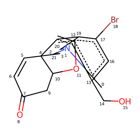 CN1CCC23C=CC(=O)CC2Oc2c(CO)cc(Br)c(c23)C1